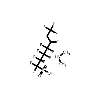 CNC.O=S(=O)(O)C(F)(F)C(F)(F)C(F)(F)C(F)(F)C(F)CC(F)(F)F